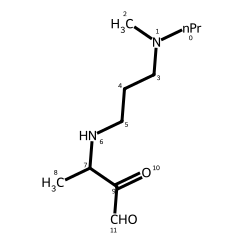 CCCN(C)CCCNC(C)C(=O)C=O